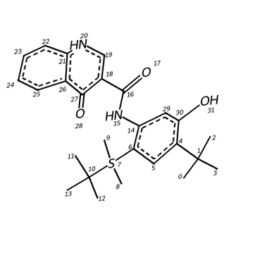 CC(C)(C)c1cc(S(C)(C)C(C)(C)C)c(NC(=O)c2c[nH]c3ccccc3c2=O)cc1O